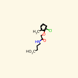 Cc1cccc(Cl)c1OCC(=O)NCCCC(=O)O